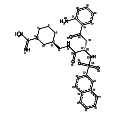 N=C(N)N1CCC[C@@H](CNC(=O)[C@H](CC(=O)c2ccccc2N)NS(=O)(=O)c2ccc3ccccc3c2)C1